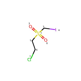 O=S(=O)(CI)CCCl